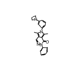 Cc1c2cnn(-c3ccccc3)c(=O)c2c(C)n1-c1cccc(N2CCC2)c1